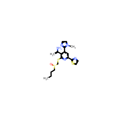 C=C(N)c1c(-c2nccn2C)cc(-c2nccs2)nc1SC[S+]([O-])CCCC